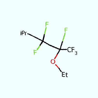 CCOC(F)(C(F)(F)F)C(F)(F)C(C)C